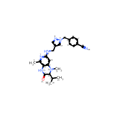 Cc1nc(NCc2cnn(Cc3ccc(C#N)cc3)c2)cc2c1NC(=O)C(C(C)C)N2C